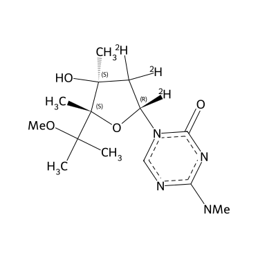 [2H]C1([2H])[C@]([2H])(n2cnc(NC)nc2=O)O[C@](C)(C(C)(C)OC)[C@@]1(C)O